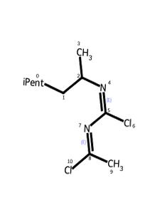 CCCC(C)CC(C)/N=C(Cl)\N=C(/C)Cl